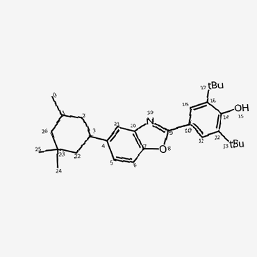 CC1CC(c2ccc3oc(-c4cc(C(C)(C)C)c(O)c(C(C)(C)C)c4)nc3c2)CC(C)(C)C1